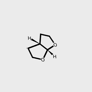 [CH]1CO[C@H]2OCC[C@@H]12